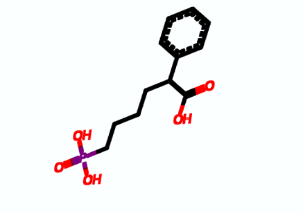 O=C(O)C(CCCCP(=O)(O)O)c1ccccc1